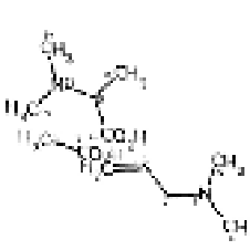 C=CCN(C)C.CC(=O)O.CC(C(=O)O)N(C)C